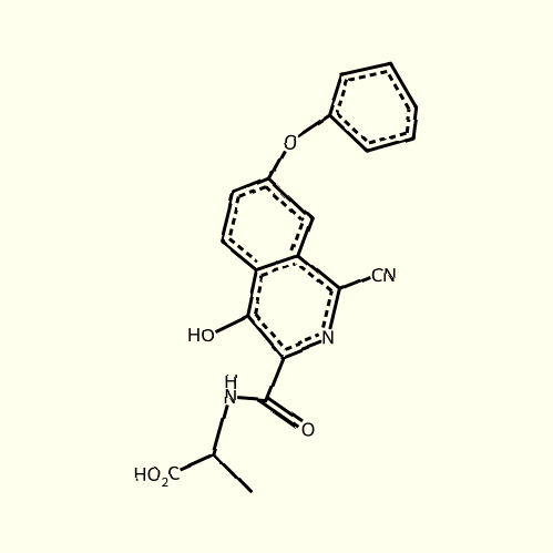 CC(NC(=O)c1nc(C#N)c2cc(Oc3ccccc3)ccc2c1O)C(=O)O